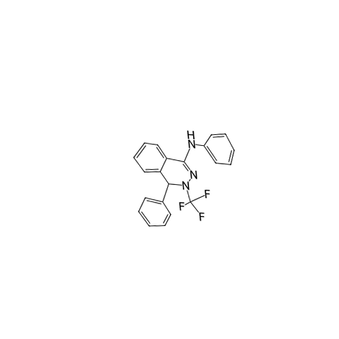 FC(F)(F)N1N=C(Nc2ccccc2)c2ccccc2C1c1ccccc1